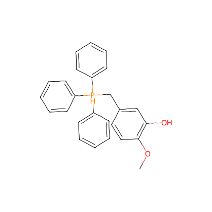 COc1ccc(C[PH](c2ccccc2)(c2ccccc2)c2ccccc2)cc1O